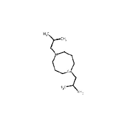 CC(C)CN1CC[CH2][Ga]([CH2]C(C)C)[CH2]CC1